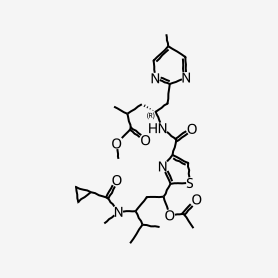 COC(=O)C(C)C[C@H](Cc1ncc(C)cn1)NC(=O)c1csc(C(CC(C(C)C)N(C)C(=O)C2CC2)OC(C)=O)n1